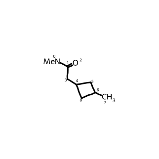 CNC(=O)CC1CC(C)C1